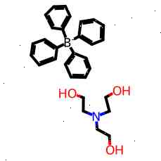 OCCN(CCO)CCO.c1ccc([B-](c2ccccc2)(c2ccccc2)c2ccccc2)cc1